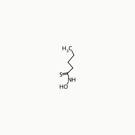 CCCCC(=S)NO